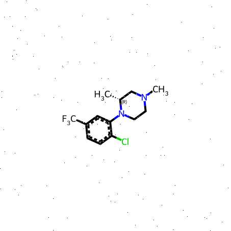 C[C@@H]1CN(C)CCN1c1cc(C(F)(F)F)ccc1Cl